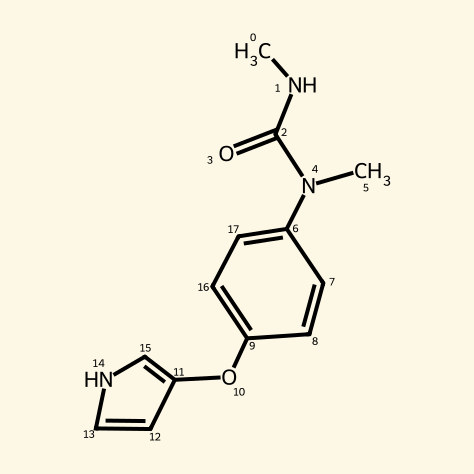 CNC(=O)N(C)c1ccc(Oc2cc[nH]c2)cc1